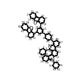 c1ccc(-c2nc3c(-c4ccc(-c5cc(-c6cccc7c6oc6ccccc67)cc(-c6cccc7c6oc6ccccc67)c5)cc4)cccc3c3ccc4c(c5ccccc5n4-c4ccccc4)c23)cc1